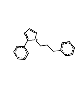 [C]1=C(c2ccccc2)[SH](CCCc2ccccc2)C=C1